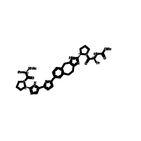 COC(=O)N[C@H](C(=O)N1CCC[C@H]1c1nc2c([nH]1)Cc1ccc(-c3ccc(-c4cnc([C@@H]5CCCN5C(=O)[C@@H](NC(C)=O)C(C)C)[nH]4)s3)cc1CC2)C(C)C